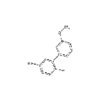 Fc1ccc(S)cc1-c1cccc(OC(F)(F)F)c1